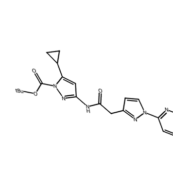 CC(C)(C)OC(=O)n1nc(NC(=O)Cc2ccn(-c3cc(Cl)ccn3)n2)cc1C1CC1